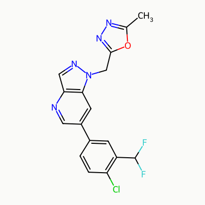 Cc1nnc(Cn2ncc3ncc(-c4ccc(Cl)c(C(F)F)c4)cc32)o1